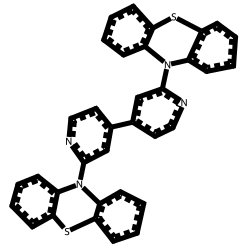 c1ccc2c(c1)Sc1ccccc1N2c1cc(-c2ccnc(N3c4ccccc4Sc4ccccc43)c2)ccn1